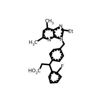 CCc1nc2c(C)cc(C)nc2n1Cc1ccc(C(CC(=O)O)c2ccccc2F)cc1